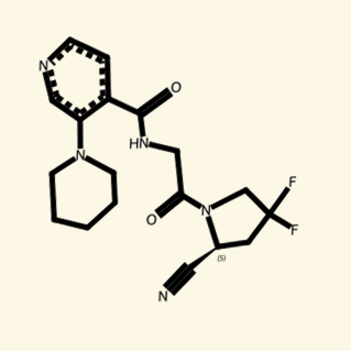 N#C[C@@H]1CC(F)(F)CN1C(=O)CNC(=O)c1ccncc1N1CCCCC1